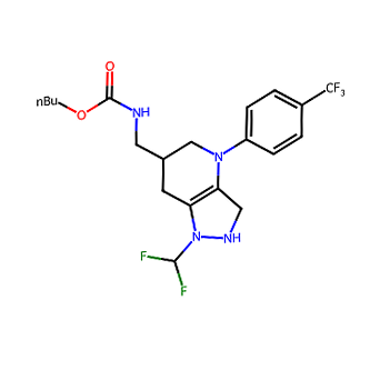 CCCCOC(=O)NCC1CC2=C(CNN2C(F)F)N(c2ccc(C(F)(F)F)cc2)C1